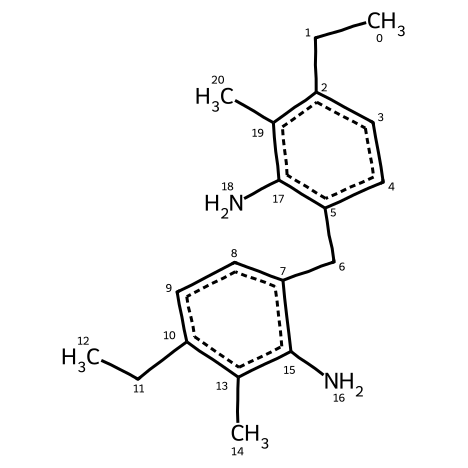 CCc1ccc(Cc2ccc(CC)c(C)c2N)c(N)c1C